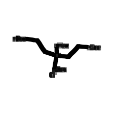 CCCCCCCCCCCC[P+](CCCCCC)(CCCCCC)CCCCCCCCCCCC.[Cl-]